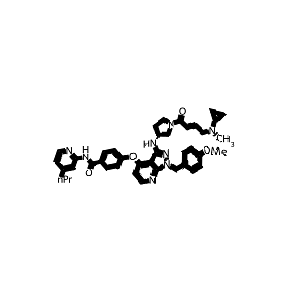 CCCc1ccnc(NC(=O)c2ccc(Oc3ccnc4c3c(N[C@@H]3CCN(C(=O)C=CCN(C)C5CC5)C3)nn4Cc3ccc(OC)cc3)cc2)c1